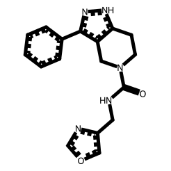 O=C(NCc1cocn1)N1CCc2[nH]nc(-c3ccccc3)c2C1